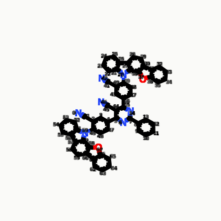 N#Cc1cc(-c2nc(-c3ccccc3)nc(-c3ccc(-n4c5ccccc5c5ccc6c7ccccc7oc6c54)c(C#N)c3)c2C#N)ccc1-n1c2ccccc2c2ccc3c4ccccc4oc3c21